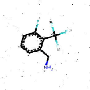 NCc1cccc(F)c1C(F)(F)F